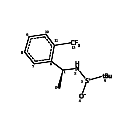 C[C@H](N[S+]([O-])C(C)(C)C)c1ccccc1C(F)(F)F